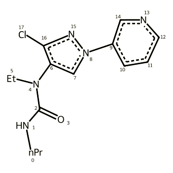 CCCNC(=O)N(CC)c1cn(-c2cccnc2)nc1Cl